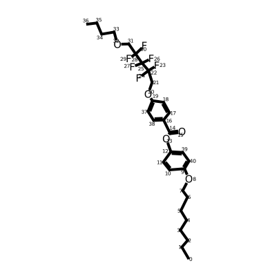 CCCCCCCCOc1ccc(OC(=O)c2ccc(OCC(F)(F)C(F)(F)C(F)(F)COCCCC)cc2)cc1